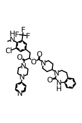 CNc1c(Cl)cc(CC(OC(=O)N2CCC(N3CCc4ccccc4NC3=O)CC2)C(=O)N2CCN(c3ccncc3)CC2)cc1C(F)(F)F